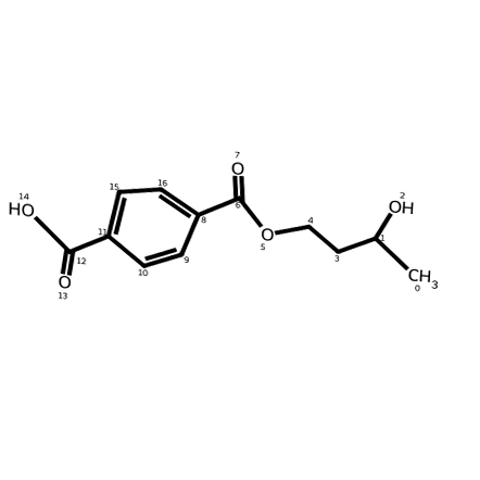 CC(O)CCOC(=O)c1ccc(C(=O)O)cc1